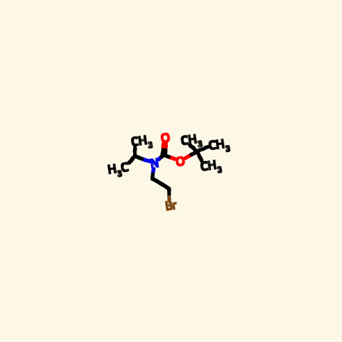 CC(C)N(CCBr)C(=O)OC(C)(C)C